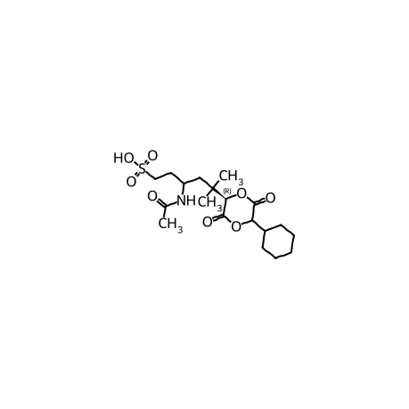 CC(=O)NC(CCS(=O)(=O)O)CC(C)(C)[C@H]1OC(=O)C(C2CCCCC2)OC1=O